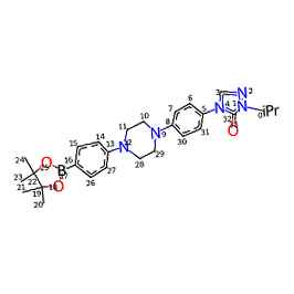 CC(C)n1ncn(-c2ccc(N3CCN(c4ccc(B5OC(C)(C)C(C)(C)O5)cc4)CC3)cc2)c1=O